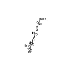 CCCCCCCCCCCCCC(=O)NCCOCCOCCNC(=O)CCOCCOCCNC(=O)C(CCCNC(=O)CBr)NC(=O)CBr